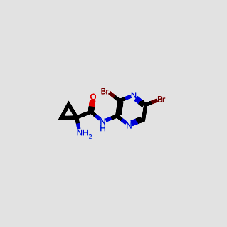 NC1(C(=O)Nc2ncc(Br)nc2Br)CC1